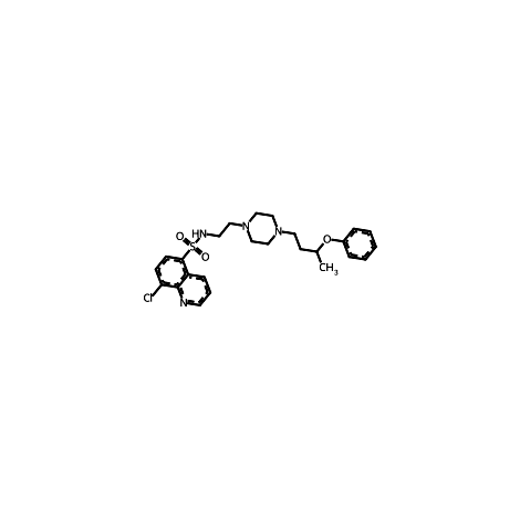 CC(CCN1CCN(CCNS(=O)(=O)c2ccc(Cl)c3ncccc23)CC1)Oc1ccccc1